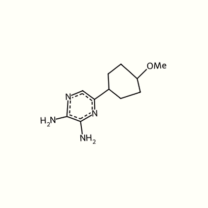 COC1CCC(c2cnc(N)c(N)n2)CC1